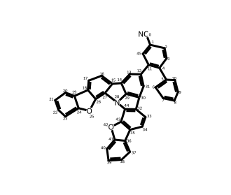 N#Cc1ccc(-c2ccccc2)c(-c2cc3c4ccc5c6ccccc6oc5c4n4c3c(c2)c2ccc3c5ccccc5oc3c24)c1